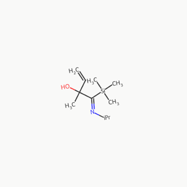 C=CC(C)(O)C(=NC(C)C)[Si](C)(C)C